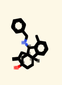 C=C1C[C@]23C[C@]1(O)CC[C@H]2c1cccc(C)c1[C@@H]3NCc1ccccc1